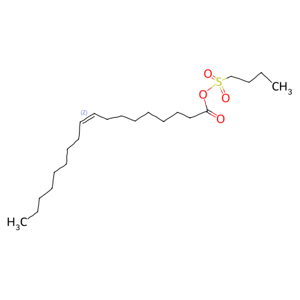 CCCCCCCC/C=C\CCCCCCCC(=O)OS(=O)(=O)CCCC